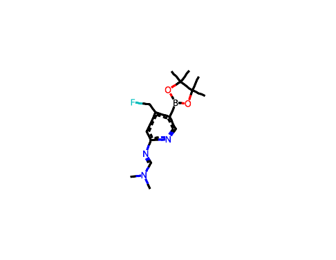 CN(C)/C=N/c1cc(CF)c(B2OC(C)(C)C(C)(C)O2)cn1